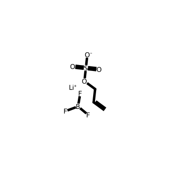 C=CCOS(=O)(=O)[O-].FB(F)F.[Li+]